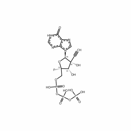 C#C[C@]1(O)[C@H](n2cnc3c(=O)[nH]cnc32)O[C@](F)(COP(=O)(O)OP(=O)(O)OP(=O)(O)O)[C@H]1O